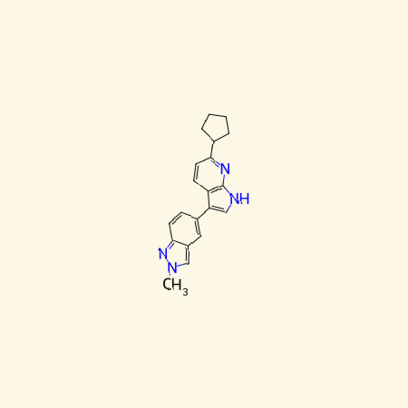 Cn1cc2cc(-c3c[nH]c4nc(C5CCCC5)ccc34)ccc2n1